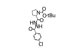 CC(C)(C)OC(=O)N1CCCC1C(=O)NNC(=O)c1ccc(Cl)cc1